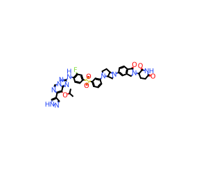 CC(C)Oc1c(-c2cn[nH]c2)ncn2nc(Nc3ccc(S(=O)(=O)c4cccc(N5CCC6C5CN6c5ccc6c(c5)CN(C5CCC(=O)NC5=O)C6=O)c4)cc3F)nc12